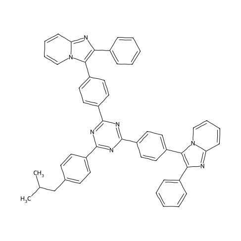 CC(C)Cc1ccc(-c2nc(-c3ccc(-c4c(-c5ccccc5)nc5ccccn45)cc3)nc(-c3ccc(-c4c(-c5ccccc5)nc5ccccn45)cc3)n2)cc1